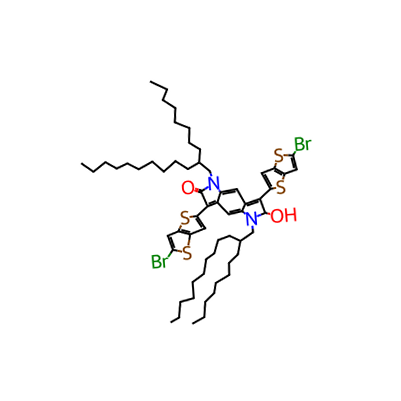 CCCCCCCCCCC(CCCCCCCC)CN1C(=O)C(c2cc3sc(Br)cc3s2)=c2cc3c(cc21)=C(c1cc2sc(Br)cc2s1)C(O)N3CC(CCCCCCCC)CCCCCCCCCC